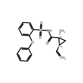 C=C[C@@H]1C[C@]1(C)C(=O)NS(=O)(=O)c1ccccc1Oc1ccccc1